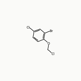 ClCOc1ccc(Cl)cc1Br